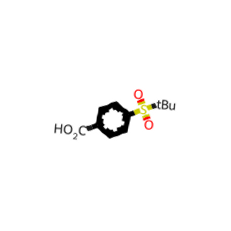 CC(C)(C)S(=O)(=O)c1ccc(C(=O)O)cc1